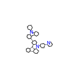 CC12c3ccccc3-c3cccc(c31)N(c1ccc(-c3ccccn3)cc1)c1ccc(-c3cccc4c3c3ccccc3n4-c3ccccc3)cc12